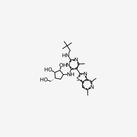 Cc1cc2sc(-c3c(C)nc(NCC(C)(C)C)nc3NC3C[C@H](CO)[C@@H](O)[C@H]3O)nc2c(C)n1